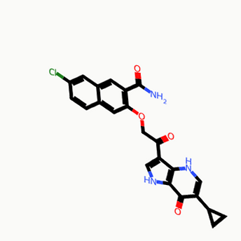 NC(=O)c1cc2cc(Cl)ccc2cc1OCC(=O)c1c[nH]c2c(=O)c(C3CC3)c[nH]c12